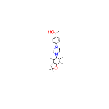 Cc1c(C)c(N2CCN(c3ccc(C(C)O)cc3)CC2)c(C)c2c1OC(C)(C)C2